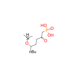 CCCCC(CCC(=O)CP(=O)(O)O)O[SiH](C)C